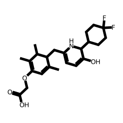 CC1=CC(OCC(=O)O)=C(C)C(C)C1CC1=CC=C(O)C(C2CCC(F)(F)CC2)N1